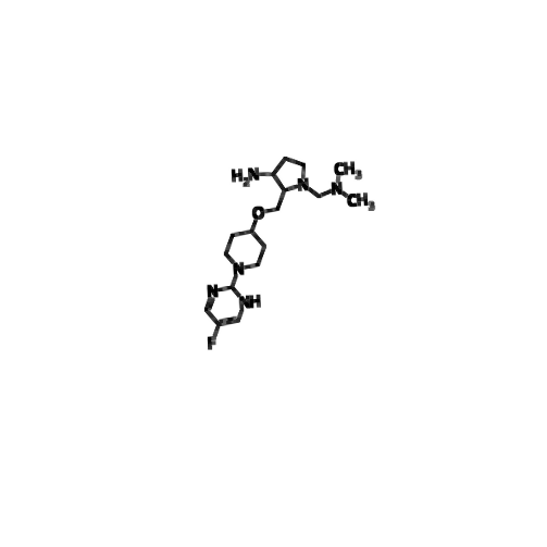 CN(C)CN1CCC(N)C1COC1CCN(C2N=CC(F)=CN2)CC1